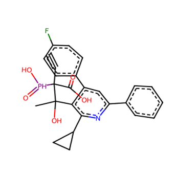 C#CC(C(=O)O)([PH](=O)O)C(C)(O)c1c(-c2ccc(F)cc2)cc(-c2ccccc2)nc1C1CC1